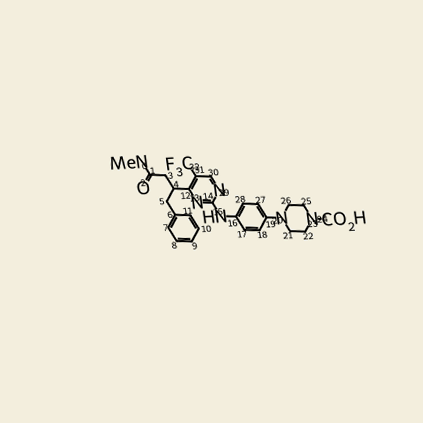 CNC(=O)CC(Cc1ccccc1)c1nc(Nc2ccc(N3CCN(C(=O)O)CC3)cc2)ncc1C(F)(F)F